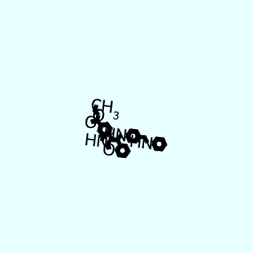 CCOC(=O)c1ccc2c(c1)NC(=O)C2=C(Nc1ccc(CNc2ccccc2)cc1)c1ccccc1